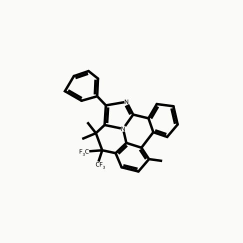 Cc1ccc2c3c1c1ccccc1c1nc(-c4ccccc4)c(n13)C(C)(C)C2(C(F)(F)F)C(F)(F)F